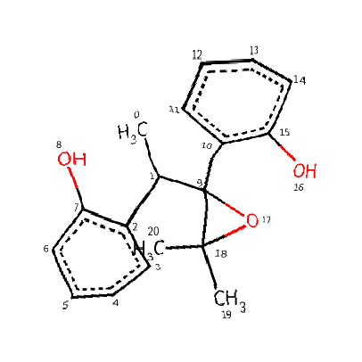 CC(c1ccccc1O)C1(c2ccccc2O)OC1(C)C